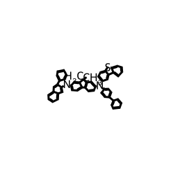 CC1(C)c2cc(N(c3ccc(-c4ccccc4)cc3)c3ccc4sc5ccccc5c4c3)ccc2-c2ccc(-n3c4ccccc4c4cc5ccccc5cc43)cc21